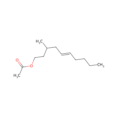 CCCCC=CCC(C)CCOC(C)=O